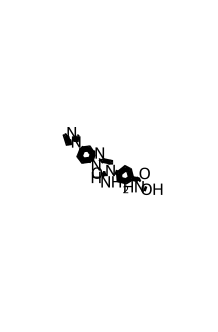 NC(=O)N(Cc1nc2cc(-n3ccnc3)ccc2[nH]1)c1ccc(C(=O)NO)cc1